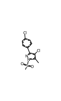 Cc1c(Cl)c(-c2ccc(Cl)cc2)nn1S(C)(=O)=O